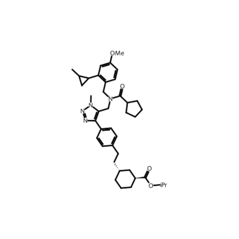 COc1ccc(CN(Cc2c(-c3ccc(CC[C@H]4CCC[C@H](C(=O)OC(C)C)C4)cc3)nnn2C)C(=O)C2CCCC2)c(C2CC2C)c1